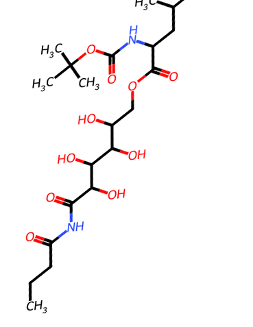 CCCC(=O)NC(=O)C(O)C(O)C(O)C(O)COC(=O)C(CC(C)C)NC(=O)OC(C)(C)C